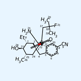 CC[C@@H]1C[C@@]2(Cc3ccc(C#N)cc3[C@]23N=C(N)N(CC(C)(C)F)C3=O)C[C@H](C)[C@H]1O